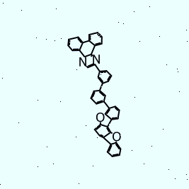 c1cc(-c2cccc(-c3cccc4c3oc3ccc5c6ccccc6oc5c34)c2)cc(-c2cnc3c4ccccc4c4ccccc4c3n2)c1